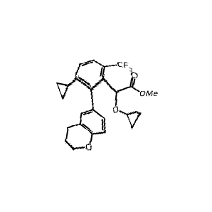 COC(=O)C(OC1CC1)c1c(C(F)(F)F)ccc(C2CC2)c1-c1ccc2c(c1)CCCO2